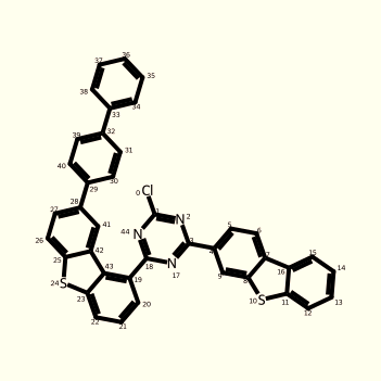 Clc1nc(-c2ccc3c(c2)sc2ccccc23)nc(-c2cccc3sc4ccc(-c5ccc(-c6ccccc6)cc5)cc4c23)n1